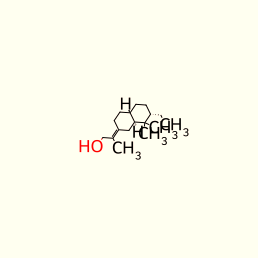 CC[C@H]1CC[C@H]2CC/C(=C(/C)CO)C[C@@H]2C1(C)C